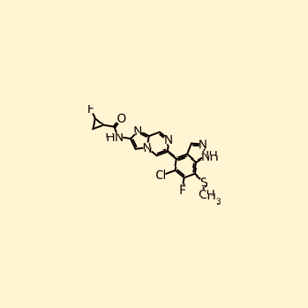 CSc1c(F)c(Cl)c(-c2cn3cc(NC(=O)C4CC4F)nc3cn2)c2cn[nH]c12